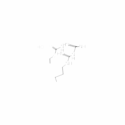 CCCCNC(=N)NC(=N)N.CCOC(N)=O.Cl